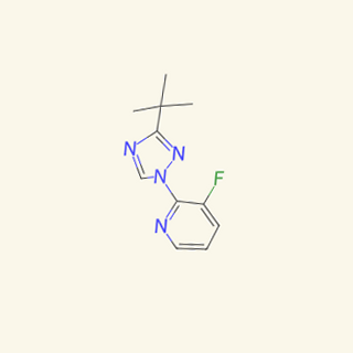 CC(C)(C)c1ncn(-c2ncccc2F)n1